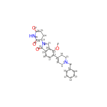 COc1c(C2=CCN(Cc3ccccc3)CC2)ccc2c1CN(C1CCC(=O)NC1=O)C2=O